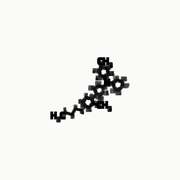 CCCCCc1ccc(-c2ccc(N(c3ccccc3)c3ccc(C)cc3)cc2)c(C)c1